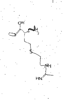 CC(=N)NCCSCCC(N)C(=O)O